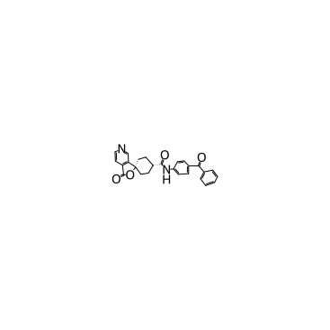 O=C(c1ccccc1)c1ccc(NC(=O)[C@H]2CC[C@]3(CC2)OC(=O)c2ccncc23)cc1